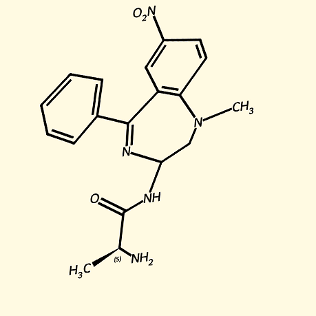 C[C@H](N)C(=O)NC1CN(C)c2ccc([N+](=O)[O-])cc2C(c2ccccc2)=N1